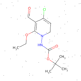 CCOC1=C(C=O)C(Cl)=CCN1NC(=O)OC(C)(C)C